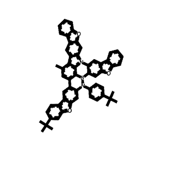 Cc1cc2c3c4c1c1cc5c(cc1n4-c1cc4c(cc1B3N(c1ccc(C(C)(C)C)cc1)c1cc3oc6cc(C(C)(C)C)ccc6c3cc1-2)oc1ccccc14)oc1ccccc15